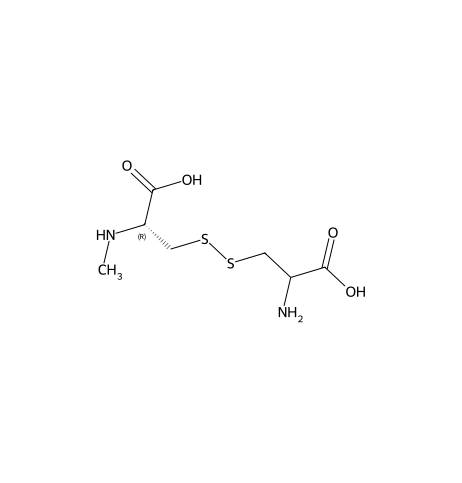 CN[C@@H](CSSCC(N)C(=O)O)C(=O)O